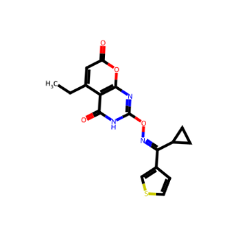 CCc1cc(=O)oc2nc(O/N=C(/c3ccsc3)C3CC3)[nH]c(=O)c12